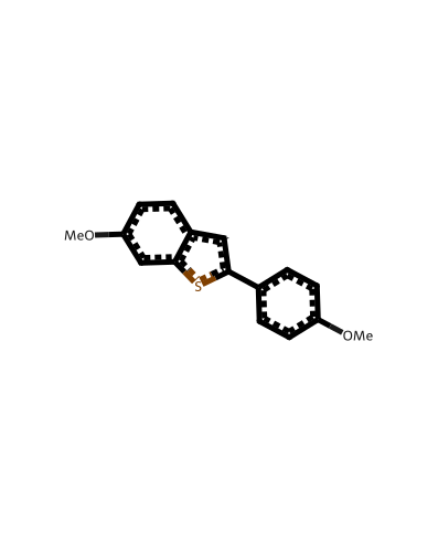 COc1ccc(-c2[c]c3ccc(OC)cc3s2)cc1